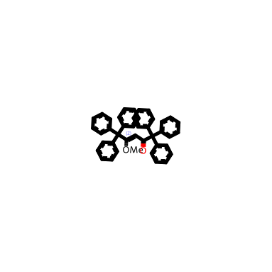 CO/C(=C\C(=O)C(c1ccccc1)(c1ccccc1)c1ccccc1)C(c1ccccc1)(c1ccccc1)c1ccccc1